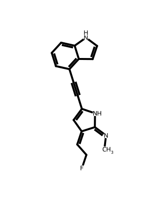 C/N=C1/NC(C#Cc2cccc3[nH]ccc23)=C/C1=C/CF